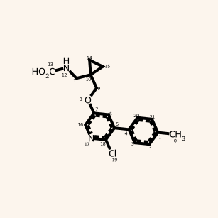 Cc1ccc(-c2cc(OCC3(CNC(=O)O)CC3)cnc2Cl)cc1